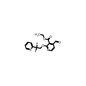 CCOC(=O)c1c(C=O)ccnc1OCC(F)(F)c1ccccn1